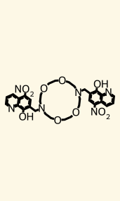 O=[N+]([O-])c1cc(CN2CCOCCOCCN(Cc3cc([N+](=O)[O-])c4cccnc4c3O)CCOCCOCC2)c(O)c2ncccc12